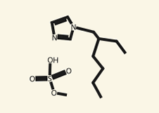 CCCCC(CC)Cn1ccnc1.COS(=O)(=O)O